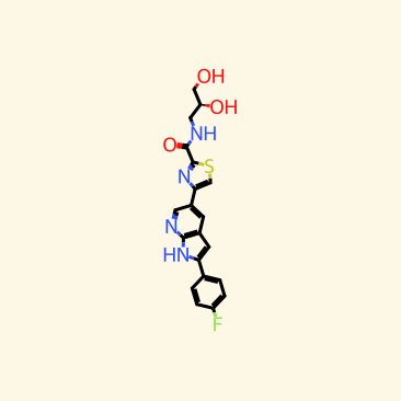 O=C(NC[C@H](O)CO)c1nc(-c2cnc3[nH]c(-c4ccc(F)cc4)cc3c2)cs1